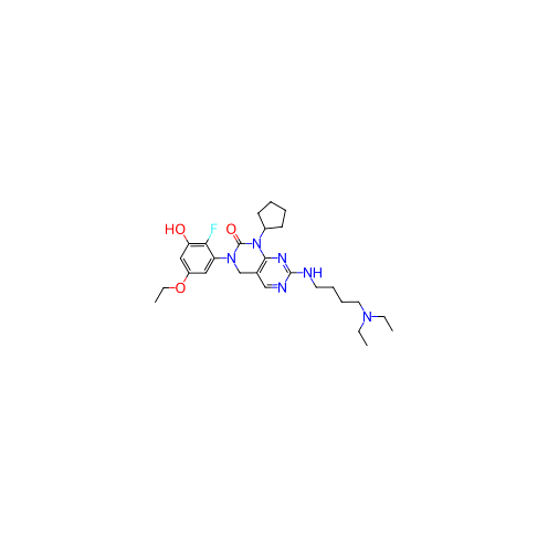 CCOc1cc(O)c(F)c(N2Cc3cnc(NCCCCN(CC)CC)nc3N(C3CCCC3)C2=O)c1